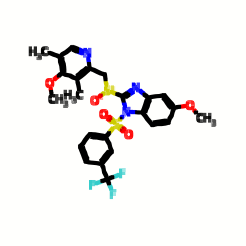 COc1ccc2c(c1)nc([S+]([O-])Cc1ncc(C)c(OC)c1C)n2S(=O)(=O)c1cccc(C(F)(F)F)c1